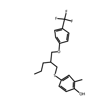 CCCC(COc1ccc(C(F)(F)F)cc1)CSc1ccc(O)c(C)c1